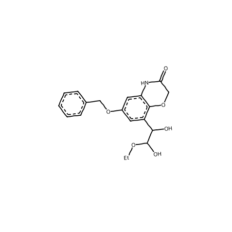 CCOC(O)C(O)c1cc(OCc2ccccc2)cc2c1OCC(=O)N2